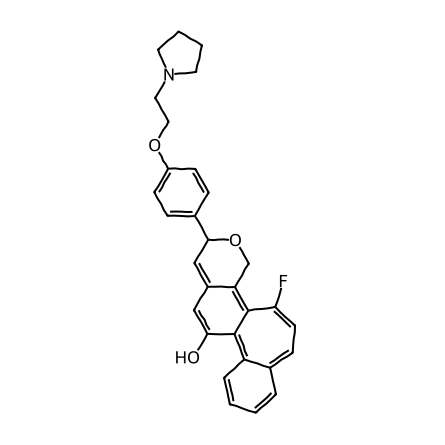 Oc1cc2c(c3c1=c1ccccc1=CC=C3F)COC(c1ccc(OCCN3CCCC3)cc1)C=2